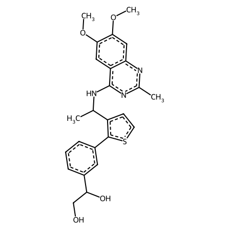 COc1cc2nc(C)nc(NC(C)c3ccsc3-c3cccc(C(O)CO)c3)c2cc1OC